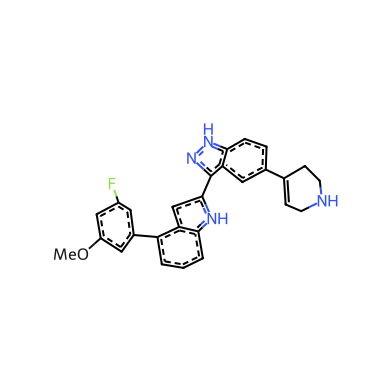 COc1cc(F)cc(-c2cccc3[nH]c(-c4n[nH]c5ccc(C6=CCNCC6)cc45)cc23)c1